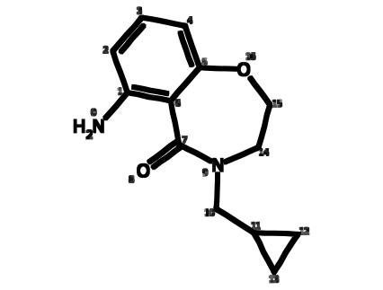 Nc1cccc2c1C(=O)N(CC1CC1)CCO2